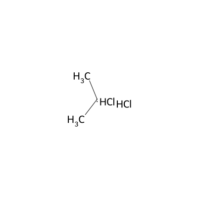 C[CH]C.Cl.Cl